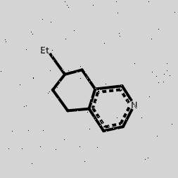 CCC1CCc2ccncc2C1